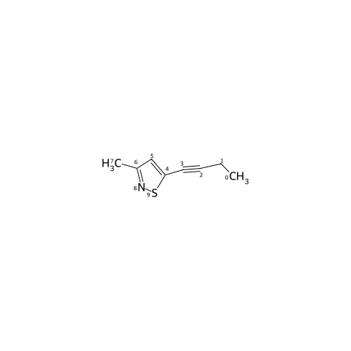 CCC#Cc1cc(C)ns1